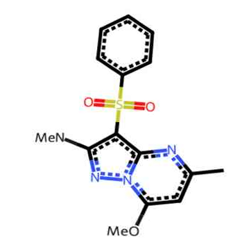 CNc1nn2c(OC)cc(C)nc2c1S(=O)(=O)c1ccccc1